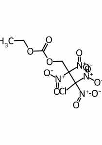 CCOC(=O)OCC([N+](=O)[O-])([N+](=O)[O-])C(Cl)([N+](=O)[O-])[N+](=O)[O-]